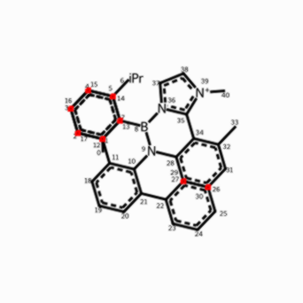 Cc1cccc(C(C)C)c1B1N(c2c(-c3ccccc3)cccc2-c2ccccc2)c2cccc(C)c2-c2n1cc[n+]2C